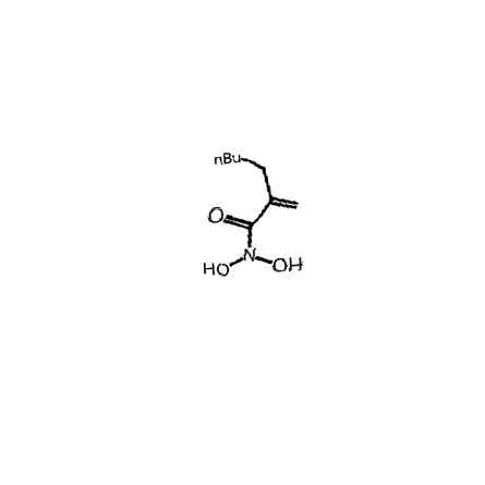 C=C(CCCCC)C(=O)N(O)O